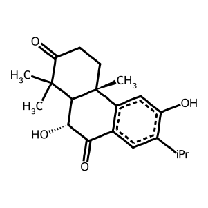 CC(C)c1cc2c(cc1O)[C@@]1(C)CCC(=O)C(C)(C)C1[C@@H](O)C2=O